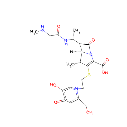 CNCC(=O)N[C@H](C)[C@H]1C(=O)N2C(C(=O)O)=C(SCCn3cc(O)c(=O)cc3CO)[C@H](C)[C@@H]12